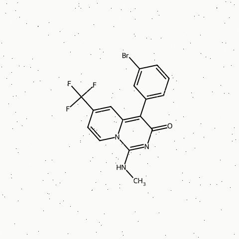 CNc1nc(=O)c(-c2cccc(Br)c2)c2cc(C(F)(F)F)ccn12